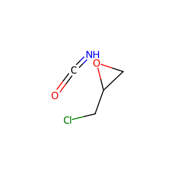 ClCC1CO1.N=C=O